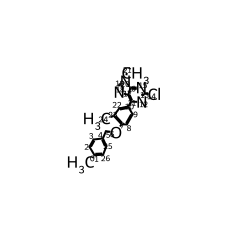 Cc1ccc(COc2ccc(-c3nc(Cl)nc4c3ncn4C)cc2C)cc1